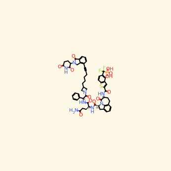 NC(=O)CC[C@H](NC(=O)[C@@H]1Cc2cccc3c2N1C(=O)[C@@H](NC(=O)c1cc2cc(C(F)(F)P(=O)(O)O)ccc2s1)CC3)C(=O)N[C@H](C(=O)N1CC(CCCCC#Cc2cccc3c2CN(C2CCC(=O)NC2=O)C3=O)C1)c1ccccc1